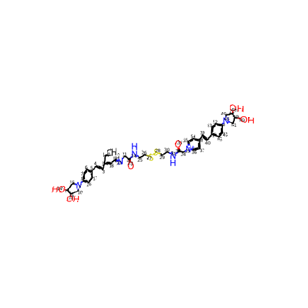 C=CC(/C=C/c1ccc(N2CC(O)C(O)C2)cc1)=C\C=N\CC(=O)NCCSSCCNC(=O)C[n+]1ccc(/C=C/c2ccc(N3CC(O)C(O)C3)cc2)cc1